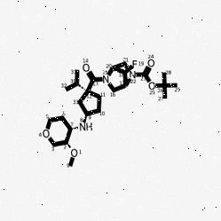 CO[C@@H]1COCC[C@@H]1N[C@@H]1CC[C@@](C(=O)N2CC3C(F)C2CN3C(=O)OC(C)(C)C)(C(C)C)C1